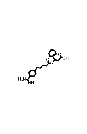 N=C(N)c1ccc(CCCCC(=O)NC(CC(=O)O)c2ccccc2)cc1